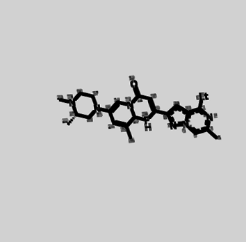 CCc1nc(C)cn2nc(C3=CC(=O)N4C=C(N5CCN(C)[C@@H](C)C5)C=C(C)C4P3)cc12